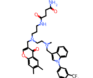 Cc1cc2occ(CN(CCCNC(=O)CCC(N)=O)CCN(C)Cc3cn(-c4cccc(C(F)(F)F)c4)c4ccccc34)c(=O)c2cc1C